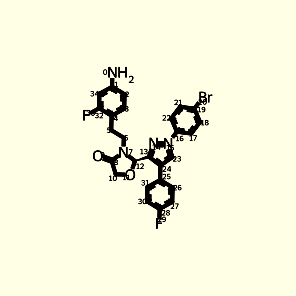 Nc1ccc(CCN2C(=O)CO[C@@H]2c2nn(-c3ccc(Br)cc3)cc2-c2ccc(F)cc2)c(F)c1